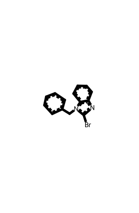 Brc1nc2ccccc2n1Cc1ccccc1